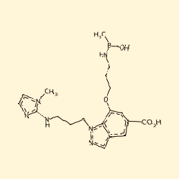 CB(O)NCCCOc1cc(C(=O)O)cc2cnn(CCCNc3nccn3C)c12